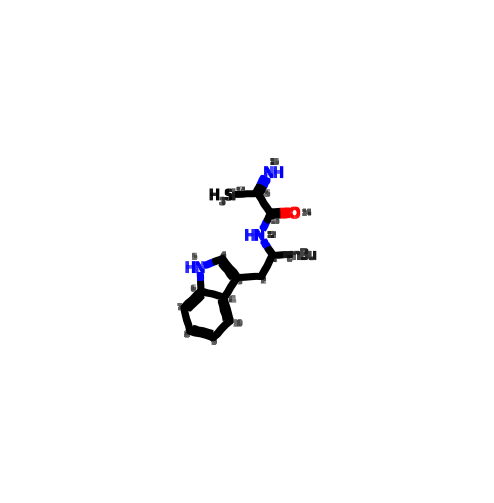 CCCCC(Cc1c[nH]c2ccccc12)NC(=O)C(=N)[SiH3]